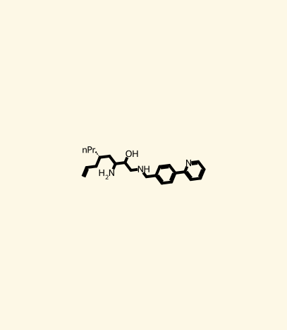 C=CC[C@H](CCC)CC(N)C(O)CNCc1ccc(-c2ccccn2)cc1